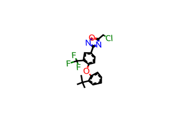 CC(C)(C)c1ccccc1Oc1ccc(-c2noc(CCl)n2)cc1C(F)(F)F